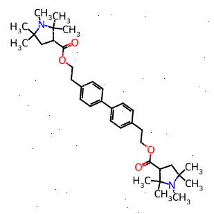 CN1C(C)(C)CC(C(=O)OCCc2ccc(-c3ccc(CCOC(=O)C4CC(C)(C)N(C)C4(C)C)cc3)cc2)C1(C)C